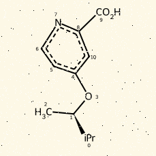 CC(C)[C@@H](C)Oc1ccnc(C(=O)O)c1